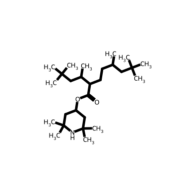 CC(CCC(C(=O)OC1CC(C)(C)NC(C)(C)C1)C(C)CC(C)(C)C)CC(C)(C)C